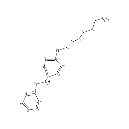 CCCCCCCOc1ccc(NCc2ccccc2)cc1